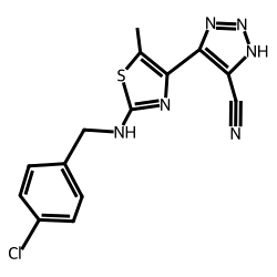 Cc1sc(NCc2ccc(Cl)cc2)nc1-c1nn[nH]c1C#N